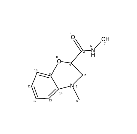 CN1CC(C(=O)NO)Oc2ccccc21